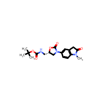 CN1C(=O)Cc2cc(N3C[C@H](CNC(=O)OC(C)(C)C)OC3=O)ccc21